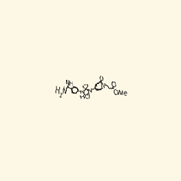 COC(=O)CCn1ccc(N2CCN(c3ccc(C(=N)N)cc3)C2=O)cc1=O.Cl